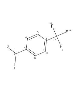 CC(I)c1ccc(C(F)(F)F)cc1